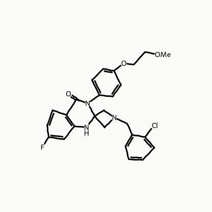 COCCOc1ccc(N2C(=O)c3ccc(F)cc3NC23CN(Cc2ccccc2Cl)C3)cc1